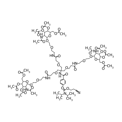 CC(=O)NC1C(OCCOCCNC(=O)CCOCC(COCCC(=O)NCCOCCOC2OC(COC(C)=O)C(OC(C)=O)C(OC(C)=O)C2NC(C)=O)(COCCC(=O)NCCOCCOC2OC(COC(C)=O)C(OC(C)=O)C(OC(C)=O)C2NC(C)=O)NC(=O)c2ccc(OP(OCCC#N)N(C(C)C)C(C)C)cc2)OC(COC(C)=O)C(OC(C)=O)C1OC(C)=O